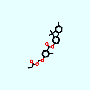 C=CC(=O)OCOc1ccc(C(=O)Oc2ccc3c(c2)C(C)(C)c2cc(C)ccc2-3)c(C)c1